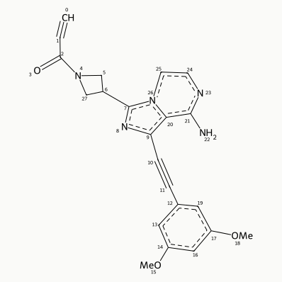 C#CC(=O)N1CC(c2nc(C#Cc3cc(OC)cc(OC)c3)c3c(N)nccn23)C1